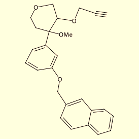 C#CCOC1COCCC1(OC)c1cccc(OCc2ccc3ccccc3c2)c1